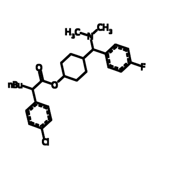 CCCCC(C(=O)OC1CCC(C(c2ccc(F)cc2)N(C)C)CC1)c1ccc(Cl)cc1